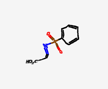 O=C(O)/C=N/S(=O)(=O)c1ccccc1